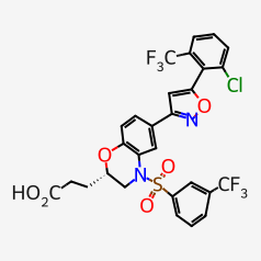 O=C(O)CC[C@H]1CN(S(=O)(=O)c2cccc(C(F)(F)F)c2)c2cc(-c3cc(-c4c(Cl)cccc4C(F)(F)F)on3)ccc2O1